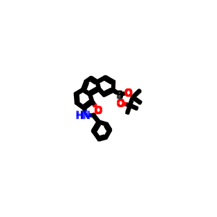 CC1(C)OB(c2ccc3ccc4ccc5c(c4c3c2)OC(c2ccccc2)N5)OC1(C)C